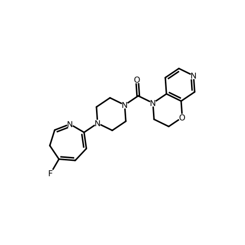 O=C(N1CCN(C2=CC=C(F)CC=N2)CC1)N1CCOc2cnccc21